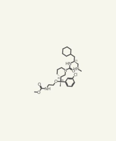 CNC[C@H](CC1CCCCC1)NC(=O)N1CCC[C@@H]([C@@](C)(OCCNC(=O)OC)c2cccc(Cl)c2)C1